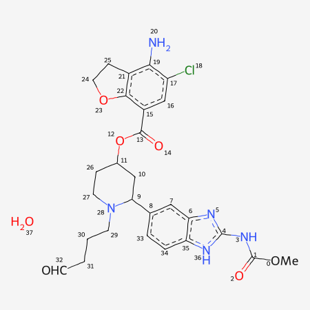 COC(=O)Nc1nc2cc(C3CC(OC(=O)c4cc(Cl)c(N)c5c4OCC5)CCN3CCCC=O)ccc2[nH]1.O